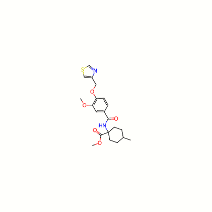 COC(=O)C1(NC(=O)c2ccc(OCc3cscn3)c(OC)c2)CCC(C)CC1